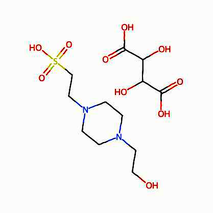 O=C(O)C(O)C(O)C(=O)O.O=S(=O)(O)CCN1CCN(CCO)CC1